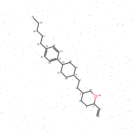 C=CC1CCC(CCC2CCC(c3ccc(CCCCC)cc3)CC2)CO1